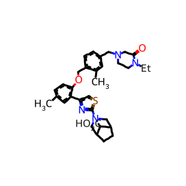 CCN1CCN(Cc2ccc(COc3ccc(C)cc3-c3csc(N4CC5CCC(C4)C5C(=O)O)n3)c(C)c2)CC1=O